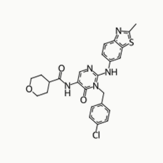 Cc1nc2ccc(Nc3ncc(NC(=O)C4CCOCC4)c(=O)n3Cc3ccc(Cl)cc3)cc2s1